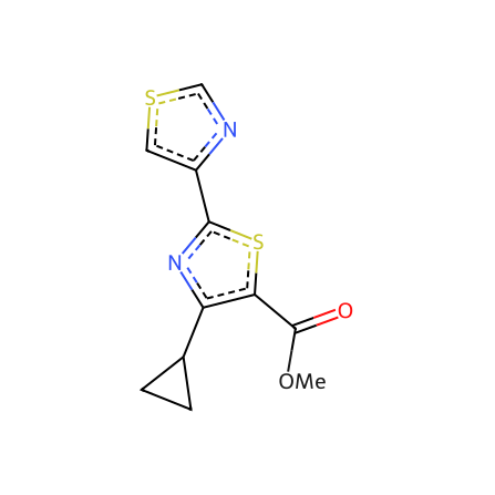 COC(=O)c1sc(-c2cscn2)nc1C1CC1